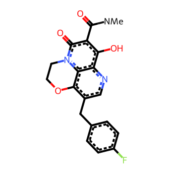 CNC(=O)c1c(O)c2ncc(Cc3ccc(F)cc3)c3c2n(c1=O)CCO3